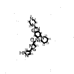 CN1CCN(c2nc3cc(N4CCCCC4)c(NC(=O)c4csc(-c5cn[nH]c5)n4)cc3o2)CC1